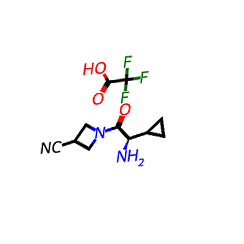 N#CC1CN(C(=O)[C@H](N)C2CC2)C1.O=C(O)C(F)(F)F